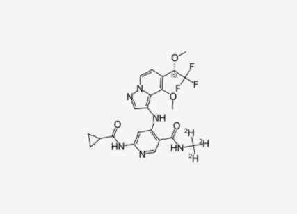 [2H]C([2H])([2H])NC(=O)c1cnc(NC(=O)C2CC2)cc1Nc1cnn2ccc([C@H](OC)C(F)(F)F)c(OC)c12